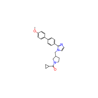 COc1ccc(-c2ccc(-c3nccn3CC3CCN(C(=O)C4CC4)C3)cc2)cc1